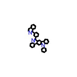 c1ccc(-n2c3ccccc3c3cc4c(-c5cccc(-c6nccc7ccccc67)c5)nc5ccccc5c4cc32)cc1